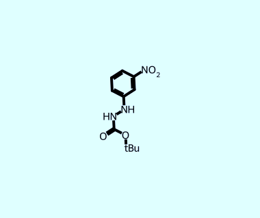 CC(C)(C)OC(=O)NNc1cccc([N+](=O)[O-])c1